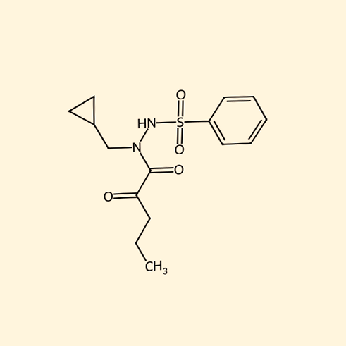 CCCC(=O)C(=O)N(CC1CC1)NS(=O)(=O)c1ccccc1